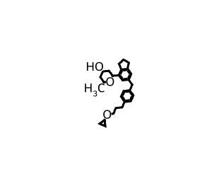 CC1CC(O)CC(c2cc(Cc3ccc(CCCOC4CC4)cc3)cc3c2CCC3)O1